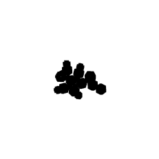 CC(C)(C)c1ccc(N2c3ccc(C(C)(C)C)cc3B3c4ccc(N5c6ccc(-c7ccccc7)cc6C6(C)CCCCC56C)cc4N(c4ccc(C(C)(C)C)cc4)c4cc(N5c6ccc(C(C)(C)C)cc6C6(C)CCCCC56C)cc2c43)cc1